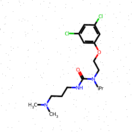 CC(C)N(CCOc1cc(Cl)cc(Cl)c1)C(=O)NCCCN(C)C